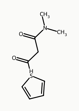 CN(C)C(=O)CC(=O)[SH]1C=CC=C1